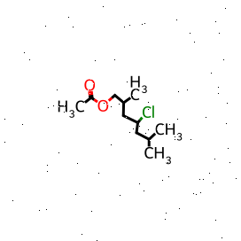 CC(=O)OCC(C)CC(Cl)CC(C)C